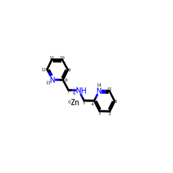 [Zn].c1ccc(CNCc2ccccn2)nc1